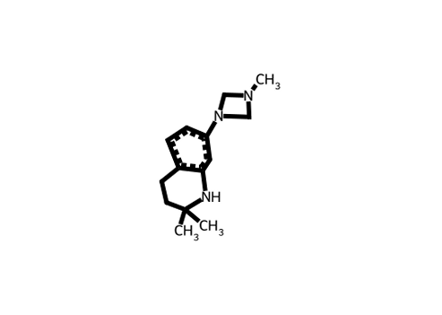 CN1CN(c2ccc3c(c2)NC(C)(C)CC3)C1